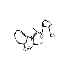 CCc1ccccc1NC(C)=[N+](c1ccccc1CC)P(C(C)C)C(C)C